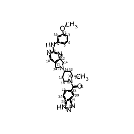 COc1cccc(Nc2ncc3c(n2)CN([C@H]2CCN(C(=O)c4ccc5[nH]nnc5c4)[C@H](C)C2)C3)c1